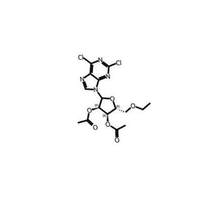 CCOC[C@H]1OC(n2cnc3c(Cl)nc(Cl)nc32)[C@H](OC(C)=O)[C@@H]1OC(C)=O